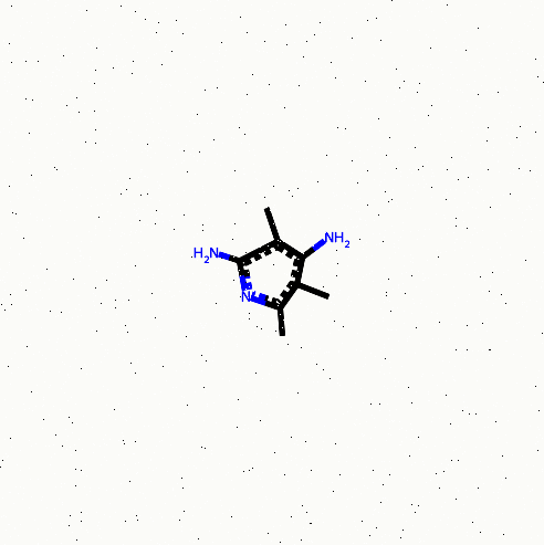 Cc1nc(N)c(C)c(N)c1C